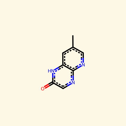 Cc1cnc2ncc(=O)[nH]c2c1